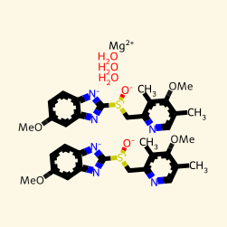 COc1ccc2[n-]c([S+]([O-])Cc3ncc(C)c(OC)c3C)nc2c1.COc1ccc2[n-]c([S+]([O-])Cc3ncc(C)c(OC)c3C)nc2c1.O.O.O.[Mg+2]